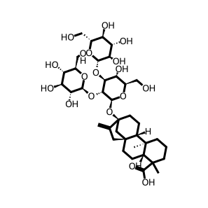 C=C1C[C@]23CC[C@H]4C(C)(C(=O)O)CCC[C@]4(C)[C@H]2CC[C@]1(O[C@@H]1O[C@H](CO)[C@@H](O)[C@H](O[C@@H]2O[C@H](CO)[C@@H](O)[C@H](O)[C@H]2O)[C@H]1O[C@@H]1O[C@H](CO)[C@@H](O)[C@H](O)[C@H]1O)C3